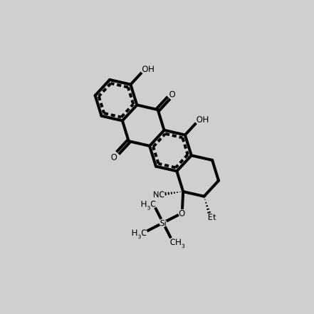 CC[C@H]1CCc2c(cc3c(c2O)C(=O)c2c(O)cccc2C3=O)[C@]1(C#N)O[Si](C)(C)C